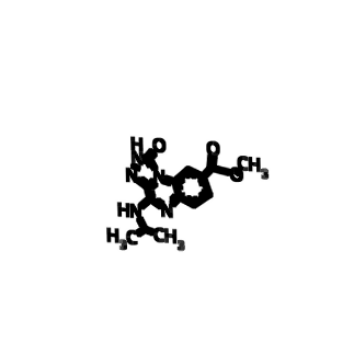 COC(=O)c1ccc2nc(NC(C)C)c3n[nH]c(=O)n3c2c1